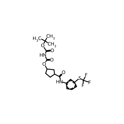 CC(C)(C)OC(=O)NC(=O)OC1CCC(C(=O)Nc2cccc(SC(F)(F)F)c2)C1